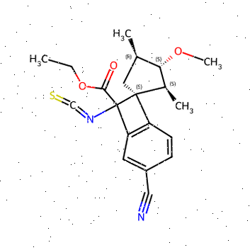 CCOC(=O)C1(N=C=S)c2cc(C#N)ccc2[C@@]12C[C@@H](C)[C@H](OC)[C@H]2C